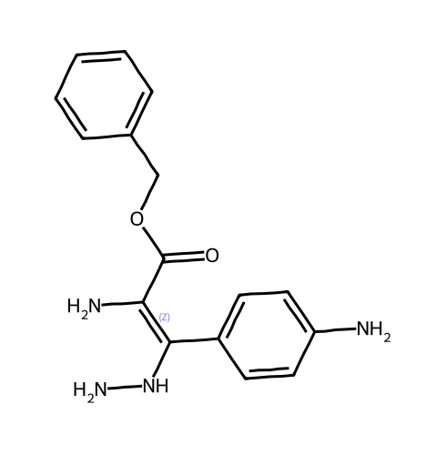 NN/C(=C(\N)C(=O)OCc1ccccc1)c1ccc(N)cc1